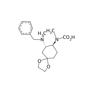 CN(Cc1ccccc1)[C@H]1CC2(CC[C@@H]1N(C)C(=O)O)OCCO2